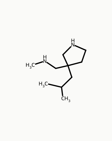 CNCC1(CC(C)C)CCNC1